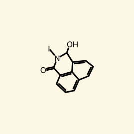 O=C1c2cccc3cccc(c23)C(O)N1I